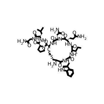 CC[C@H](C)C1NC(=O)[C@H](Cc2c[nH]c3ccccc23)NC(=O)[C@@H](N)CSSC[C@@H](C(=O)N2CCC[C@H]2C(=O)N[C@@H](CC(C)C)C(=O)NCC(N)=O)NC(=O)[C@H](CC(N)=O)NC(=O)[C@H](CCC(N)=O)NC1=O